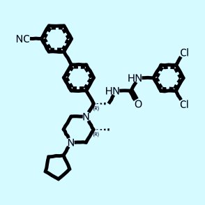 C[C@@H]1CN(C2CCCC2)CCN1[C@@H](CNC(=O)Nc1cc(Cl)cc(Cl)c1)c1ccc(-c2cccc(C#N)c2)cc1